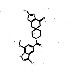 CCOc1cc(C(=O)N2CCC3(CC2)CC(=O)c2nc(C(C)(C)C)sc2C3)cc2c(C)n[nH]c12